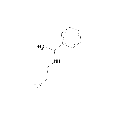 [CH2]C(NCCN)c1ccccc1